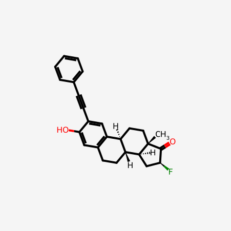 C[C@]12CC[C@@H]3c4cc(C#Cc5ccccc5)c(O)cc4CC[C@H]3[C@@H]1C[C@H](F)C2=O